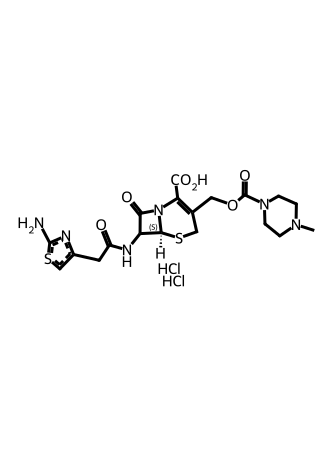 CN1CCN(C(=O)OCC2=C(C(=O)O)N3C(=O)C(NC(=O)Cc4csc(N)n4)[C@@H]3SC2)CC1.Cl.Cl